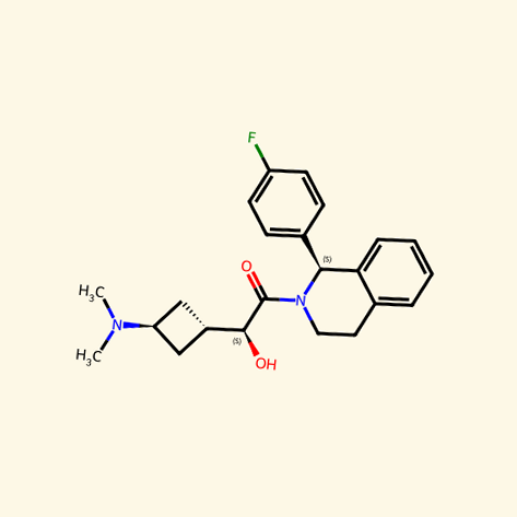 CN(C)[C@H]1C[C@H]([C@H](O)C(=O)N2CCc3ccccc3[C@@H]2c2ccc(F)cc2)C1